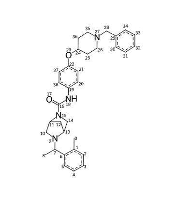 Cc1ccccc1C(C)N1CC2CC1CN2C(=O)Nc1ccc(OC2CCN(Cc3ccccc3)CC2)cc1